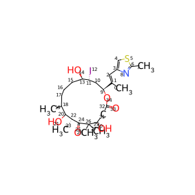 C/C(=C\c1csc(C)n1)[C@@H]1C[C@@H](I)[C@H](O)CCC[C@H](C)C(O)[C@@H](C)C(=O)C(C)(C)[C@@H](O)CC(=O)O1